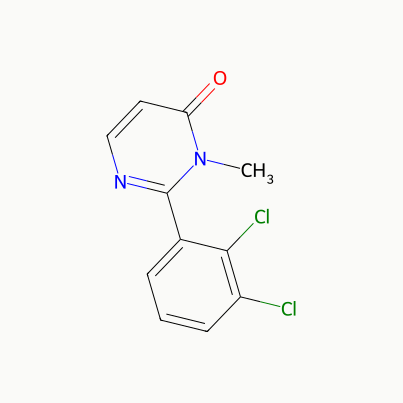 Cn1c(-c2cccc(Cl)c2Cl)nccc1=O